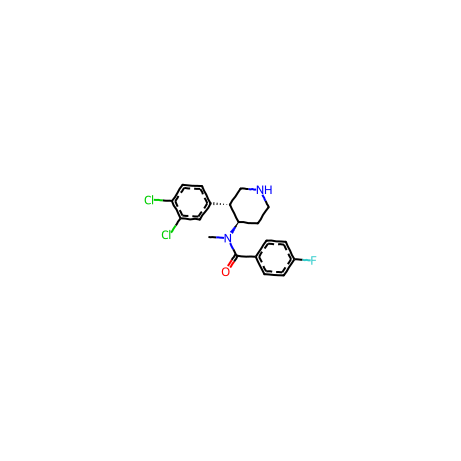 CN(C(=O)c1ccc(F)cc1)[C@@H]1CCNC[C@H]1c1ccc(Cl)c(Cl)c1